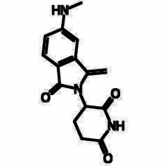 C=C1c2cc(NC)ccc2C(=O)N1C1CCC(=O)NC1=O